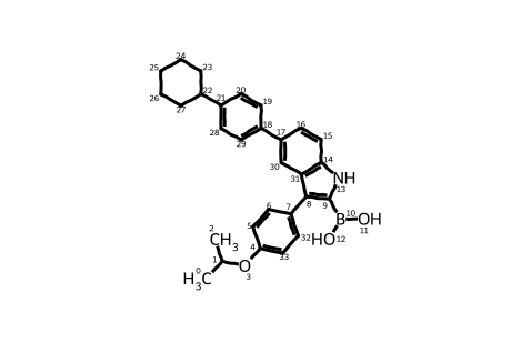 CC(C)Oc1ccc(-c2c(B(O)O)[nH]c3ccc(-c4ccc(C5CCCCC5)cc4)cc23)cc1